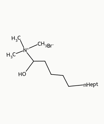 CCCCCCCCCCCC(O)[N+](C)(C)C.[Br-]